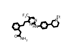 CCN1CCCC(c2ccc(Nc3ncc(C(F)(F)F)c(CCc4ccccc4CC(N)=O)n3)cc2)C1